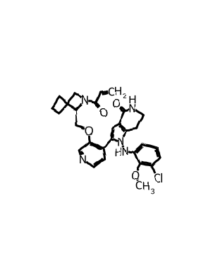 C=CC(=O)N1CC2(CCC2)[C@@H]1COc1cnccc1-c1cc2c(n1Nc1cccc(Cl)c1OC)CCNC2=O